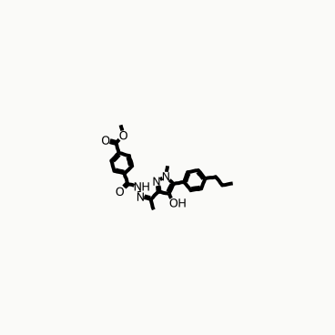 CCCc1ccc(-c2c(O)c(/C(C)=N\NC(=O)c3ccc(C(=O)OC)cc3)nn2C)cc1